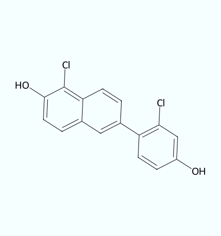 Oc1ccc(-c2ccc3c(Cl)c(O)ccc3c2)c(Cl)c1